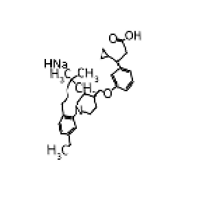 CCc1ccc(CCCC(C)(C)C)c(N2CCC(COc3cccc(C(CC(=O)O)C4CC4)c3)CC2)c1.[NaH]